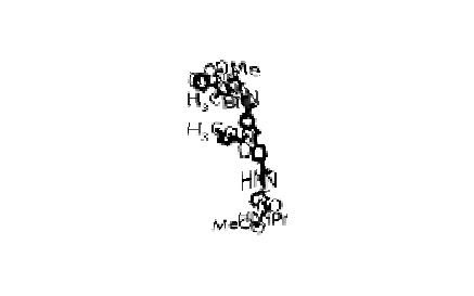 COC(=O)N[C@@H](C1CCOCC1)C(C)C(=O)N1C[C@H](F)C[C@H]1c1ncc(-c2ccc3c(c2)cc2n3C(c3ccc(C)o3)Oc3cc(-c4cnc([C@@H]5CCCN(C(=O)[C@@H](NC(=O)OC)C(C)C)S5)[nH]4)ccc3-2)[nH]1